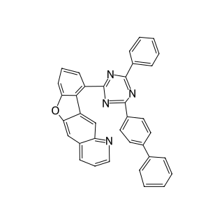 c1ccc(-c2ccc(-c3nc(-c4ccccc4)nc(-c4cccc5oc6cc7cccnc7cc6c45)n3)cc2)cc1